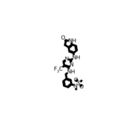 CN(c1cccc(CNc2nc(Nc3ccc4c(c3)CC(=O)N4)ncc2C(F)(F)F)c1)S(C)(=O)=O